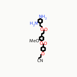 COc1cc(C=CC(=O)OCCc2ccc(N)cc2N)ccc1OC(=O)c1ccc(OCCCC#N)cc1